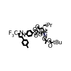 Cc1ccc(-c2cc(C(F)(F)F)nn2-c2ccc(S(=O)(=O)NC(=O)[C@H](CC(C)C)N(C)/[N+]([O-])=N/OC(C)OC(=O)C(C)(C)C)cc2)cc1